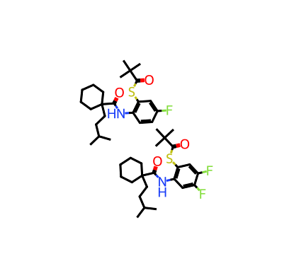 CC(C)CCC1(C(=O)Nc2cc(F)c(F)cc2SC(=O)C(C)(C)C)CCCCC1.CC(C)CCC1(C(=O)Nc2ccc(F)cc2SC(=O)C(C)(C)C)CCCCC1